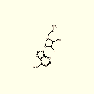 NOC[C@H]1O[C@@H](n2cnc3c(N)ncnc32)C(O)C1O